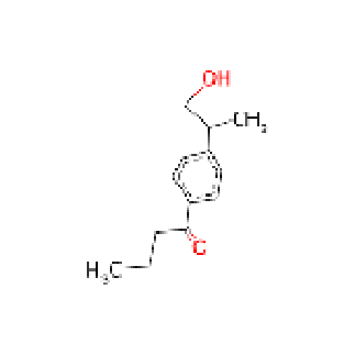 CCCC(=O)c1ccc(C(C)CO)cc1